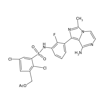 CC(=O)OCc1cc(Cl)cc(S(=O)(=O)Nc2cccc(-c3nc(C)n4ccnc(N)c34)c2F)c1Cl